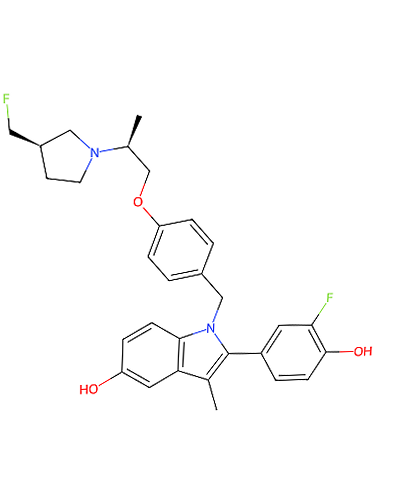 Cc1c(-c2ccc(O)c(F)c2)n(Cc2ccc(OC[C@H](C)N3CC[C@@H](CF)C3)cc2)c2ccc(O)cc12